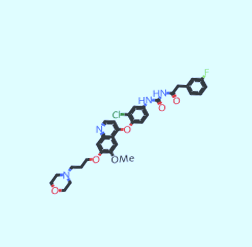 COc1cc2c(Oc3ccc(NC(=O)NC(=O)Cc4cccc(F)c4)cc3Cl)ccnc2cc1OCCCN1CCOCC1